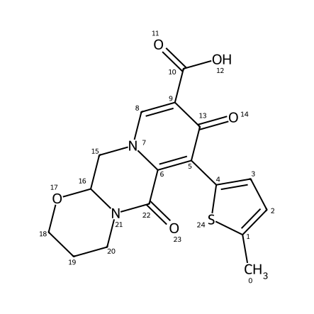 Cc1ccc(-c2c3n(cc(C(=O)O)c2=O)CC2OCCCN2C3=O)s1